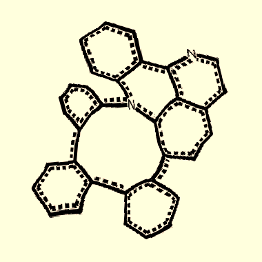 c1ccc2c(c1)c1ccccc1c1ccc3ccnc4c5ccccc5n(c5ccccc25)c1c34